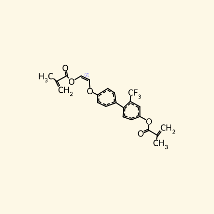 C=C(C)C(=O)O/C=C\Oc1ccc(-c2ccc(OC(=O)C(=C)C)cc2C(F)(F)F)cc1